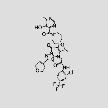 Cc1ncnc(C(=O)N2CCC[C@]3(CC2)O[C@@H](C)c2c3c(=O)n3nc(C4=CCOCC4)nc3n2CC(=O)Nc2ccc(C(F)(F)F)cc2Cl)c1O